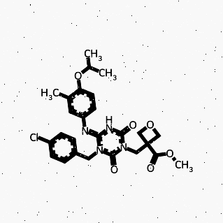 COC(=O)C1(Cn2c(=O)[nH]/c(=N\c3ccc(OC(C)C)c(C)c3)n(Cc3ccc(Cl)cc3)c2=O)COC1